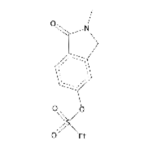 CCS(=O)(=O)Oc1ccc2c(c1)CN(C)C2=O